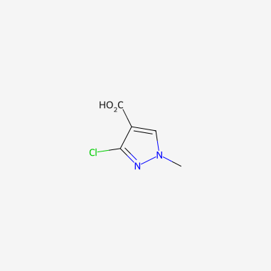 Cn1cc(C(=O)O)c(Cl)n1